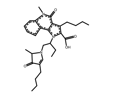 CCCCC1=CN(CC(CC)n2c(C(=O)O)c(CCCC)c3c(=O)n(C)c4ccccc4c32)C(C)C1=O